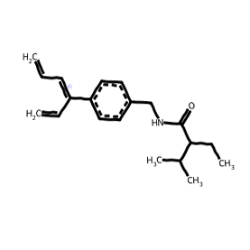 C=C/C=C(\C=C)c1ccc(CNC(=O)C(CC)C(C)C)cc1